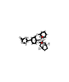 CC(C)(C)OC(=O)N1[C@@H]2CC[C@H]1C[C@H](N1c3ccccc3Oc3cc(-c4noc(=O)[nH]4)ccc31)C2